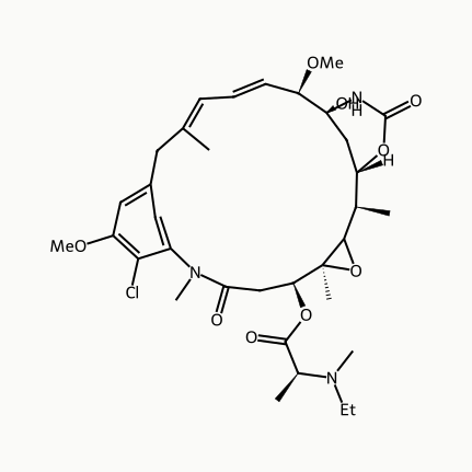 CCN(C)[C@@H](C)C(=O)O[C@H]1CC(=O)N(C)c2cc(cc(OC)c2Cl)C/C(C)=C/C=C/[C@@H](OC)[C@@]2(O)C[C@H](OC(=O)N2)[C@@H](C)C2O[C@]21C